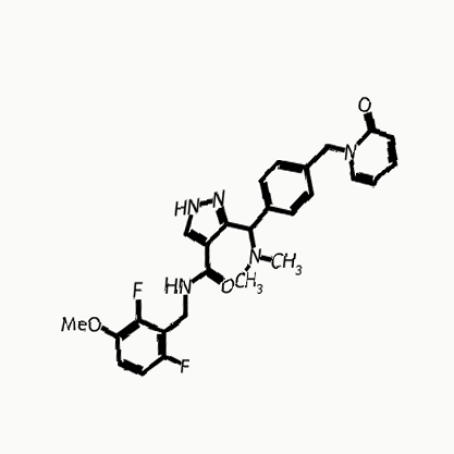 COc1ccc(F)c(CNC(=O)c2c[nH]nc2C(c2ccc(Cn3ccccc3=O)cc2)N(C)C)c1F